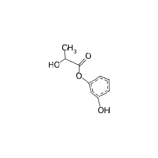 CC(O)C(=O)Oc1cccc(O)c1